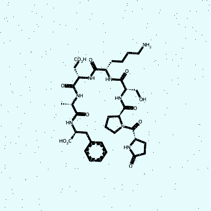 C[C@H](NC(=O)[C@H](CC(=O)O)NC(=O)[C@H](CCCCN)NC(=O)[C@H](CO)NC(=O)[C@@H]1CCCN1C(=O)[C@@H]1CCC(=O)N1)C(=O)N[C@@H](Cc1ccccc1)C(=O)O